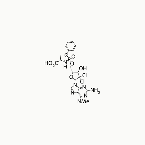 CNc1nc(N)nc2c1ncn2[C@@H]1O[C@H](COP(=O)(NC(C)C(=O)O)Oc2ccccc2)[C@@H](O)C1(Cl)Cl